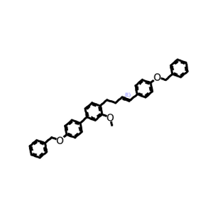 COc1cc(-c2ccc(OCc3ccccc3)cc2)ccc1CC/C=C/c1ccc(OCc2ccccc2)cc1